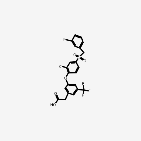 O=C(O)Cc1cc(Oc2ccc(S(=O)(=O)Cc3cccc(F)c3)cc2Cl)cc(C(F)(F)F)c1